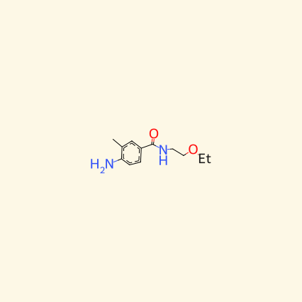 CCOCCNC(=O)c1ccc(N)c(C)c1